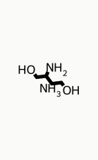 N.NC(CO)CCO